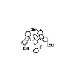 CC(C)(C)c1ccc2c3ccc(C(C)(C)C)cc3n(-c3cc(-c4ccccc4F)cc(-n4c5cc(C(C)(C)C)ccc5c5ccc(C(C)(C)C)cc54)c3C#N)c2c1